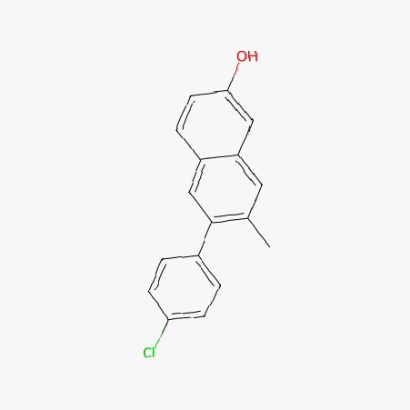 Cc1cc2cc(O)ccc2cc1-c1ccc(Cl)cc1